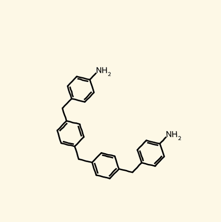 Nc1ccc(Cc2ccc(Cc3ccc(Cc4ccc(N)cc4)cc3)cc2)cc1